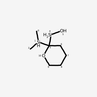 C[SiH](C)C1([SiH2]O)CCCCO1